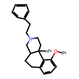 CCCC12CCN(CCc3ccccc3)CC1CCc1cccc(OC(C)C)c12